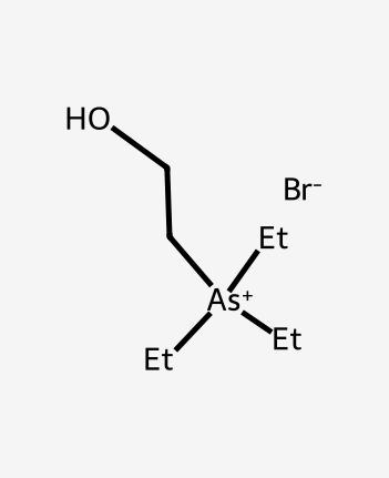 CC[As+](CC)(CC)CCO.[Br-]